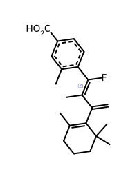 C=C(C1=C(C)CCCC1(C)C)/C(C)=C(\F)c1ccc(C(=O)O)cc1C